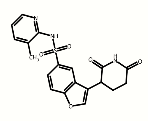 Cc1cccnc1NS(=O)(=O)c1ccc2occ(C3CCC(=O)NC3=O)c2c1